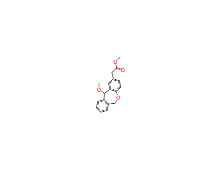 COC(=O)Cc1ccc2c(c1)C(OC)c1ccccc1CO2